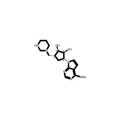 CNc1ncnc2c1ccn2[C@@H]1C[C@H](CN2CCCNC2)[C@@H](O)[C@H]1O